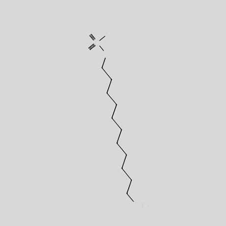 CS(=O)(=O)OCCCCCCCCCCCC=O